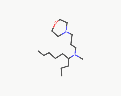 CCCCCC(CCC)N(C)CCCN1CCOCC1